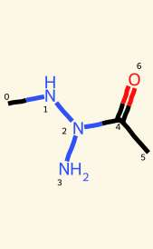 CNN(N)C(C)=O